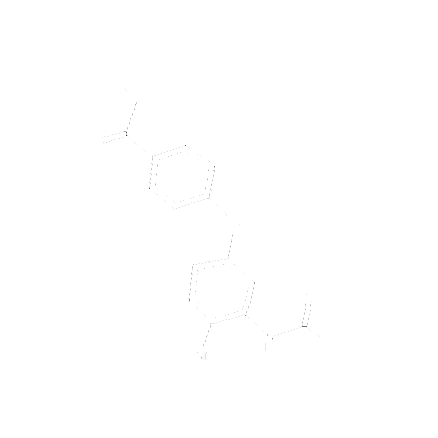 CCC(=O)c1ccc(Oc2ccc(N)c(NC(C)=O)c2)cc1